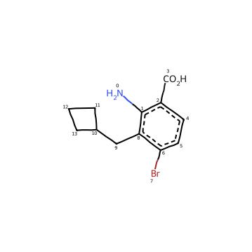 Nc1c(C(=O)O)ccc(Br)c1CC1CCC1